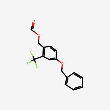 O=[C]OCc1ccc(OCc2ccccc2)cc1C(F)(F)F